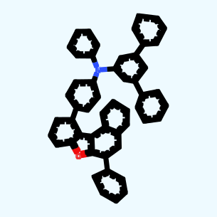 c1ccc(-c2cc(-c3ccccc3)cc(N(c3ccccc3)c3ccc(-c4cccc5oc6c(-c7ccccc7)cc7ccccc7c6c45)cc3)c2)cc1